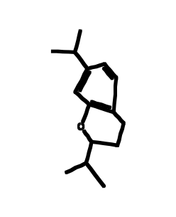 CC(C)c1ccc2c(c1)OC(C(C)C)CC2